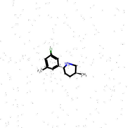 C[C@H]1CC[C@H](c2cc(Cl)cc(C(F)(F)F)c2)NC1